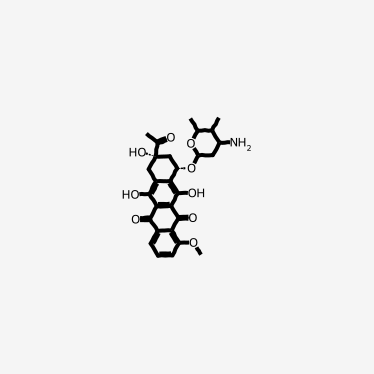 COc1cccc2c1C(=O)c1c(O)c3c(c(O)c1C2=O)C[C@@](O)(C(C)=O)C[C@@H]3OC1CC(N)C(C)C(C)O1